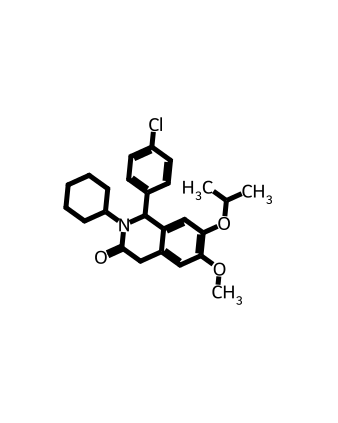 COc1cc2c(cc1OC(C)C)C(c1ccc(Cl)cc1)N(C1CCCCC1)C(=O)C2